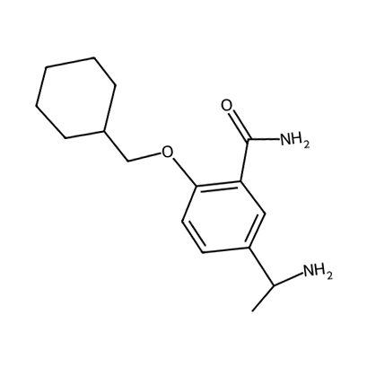 CC(N)c1ccc(OCC2CCCCC2)c(C(N)=O)c1